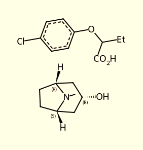 CCC(Oc1ccc(Cl)cc1)C(=O)O.CN1[C@@H]2CC[C@H]1C[C@@H](O)C2